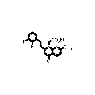 CCOC(=O)Cn1c(CCc2cccc(F)c2F)cc(=O)c2ccc(C)nc21